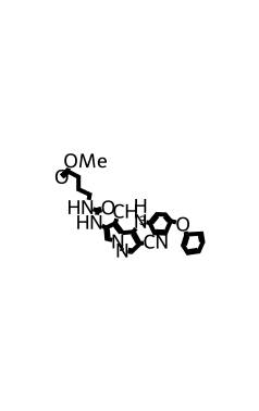 COC(=O)CCCNC(=O)Nc1cn2ncc(C#N)c(Nc3ccc(Oc4ccccc4)cc3)c2c1C